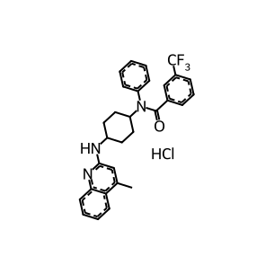 Cc1cc(NC2CCC(N(C(=O)c3cccc(C(F)(F)F)c3)c3ccccc3)CC2)nc2ccccc12.Cl